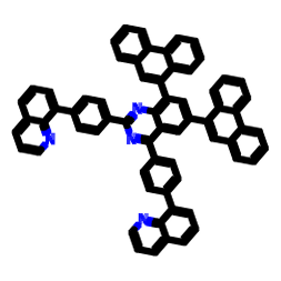 c1cnc2c(-c3ccc(-c4nc(-c5ccc(-c6cccc7cccnc67)cc5)c5cc(-c6cc7ccccc7c7ccccc67)cc(-c6cc7ccccc7c7ccccc67)c5n4)cc3)cccc2c1